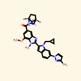 COc1cc(C(=O)N2C[C@H]3CC[C@@H]2[C@@H]3N)cc2nc(-c3cc4ccc(-n5ccc(C)n5)cc4n3CC3CC3)n(C)c12